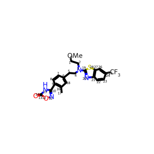 COCCN(CCc1ccc(-c2noc(=O)[nH]2)c(C)c1)c1nc2ccc(C(F)(F)F)cc2s1